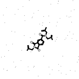 C=C(C)CN(CC(=C)C)C(=O)c1ccc2c(c1)C(=O)N(CC(=C)C)C2=O